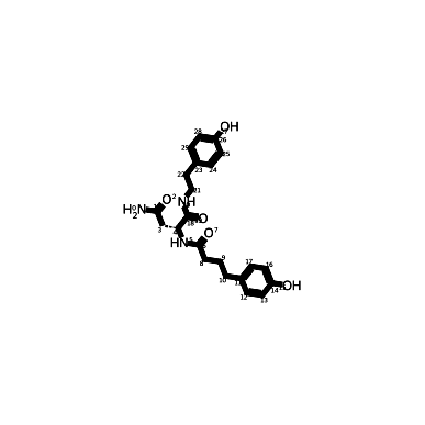 NC(=O)C[C@@H](NC(=O)CCCc1ccc(O)cc1)C(=O)NCCc1ccc(O)cc1